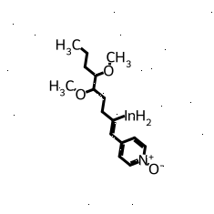 CCCC(OC)C(CC[C]([InH2])=Cc1cc[n+]([O-])cc1)OC